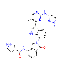 Cc1cnc(Nc2cc(C)n(C)n2)nc1-c1c[nH]c2c(N3Cc4c(NC(=O)C5CCNC5)cccc4C3=O)cccc12